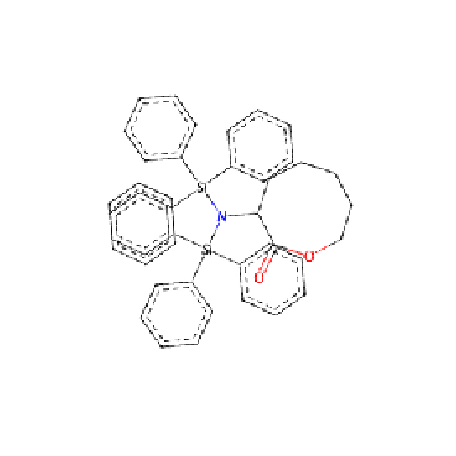 O=C1OCCCCCC1N([Si](c1ccccc1)(c1ccccc1)c1ccccc1)[Si](c1ccccc1)(c1ccccc1)c1ccccc1